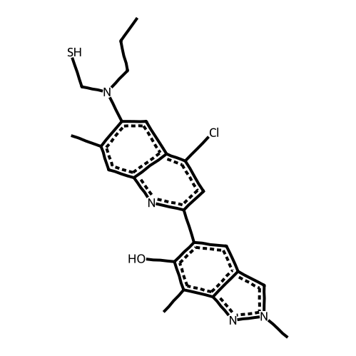 CCCN(CS)c1cc2c(Cl)cc(-c3cc4cn(C)nc4c(C)c3O)nc2cc1C